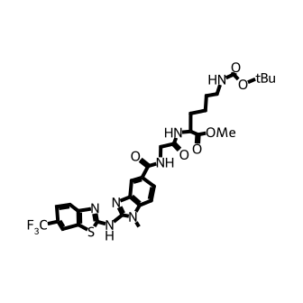 COC(=O)C(CCCCNC(=O)OC(C)(C)C)NC(=O)CNC(=O)c1ccc2c(c1)nc(Nc1nc3ccc(C(F)(F)F)cc3s1)n2C